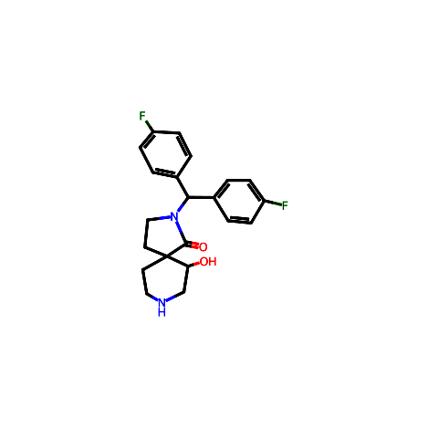 O=C1N(C(c2ccc(F)cc2)c2ccc(F)cc2)CCC12CCNCC2O